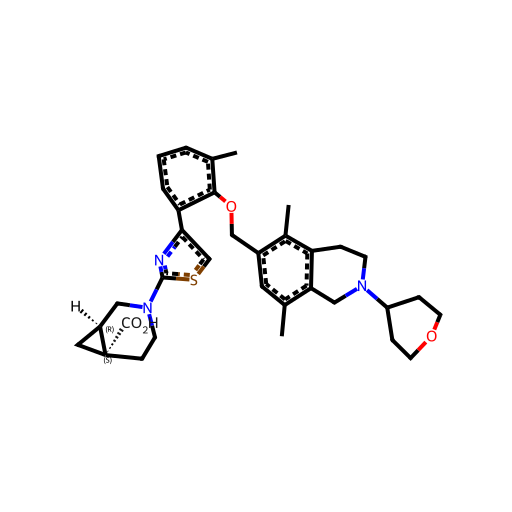 Cc1cc(COc2c(C)cccc2-c2csc(N3CC[C@@]4(C(=O)O)C[C@H]4C3)n2)c(C)c2c1CN(C1CCOCC1)CC2